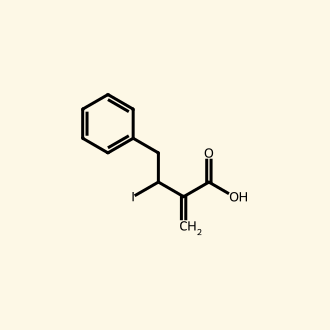 C=C(C(=O)O)C(I)Cc1ccccc1